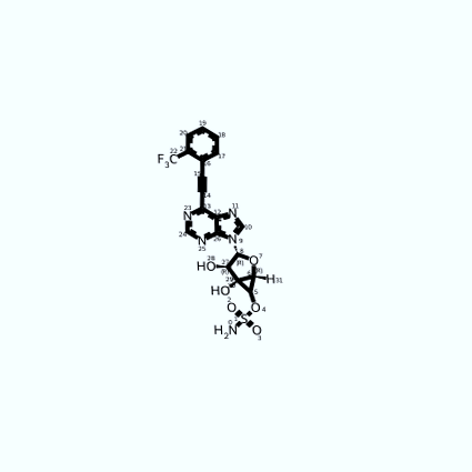 NS(=O)(=O)OC1[C@H]2O[C@@H](n3cnc4c(C#Cc5ccccc5C(F)(F)F)ncnc43)[C@H](O)[C@@]12O